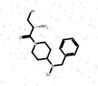 CCN(Cc1ccccc1)C1CCN(C(=O)[C@@H](N)CC(C)C)CC1